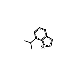 CC(C)c1cccc2cc[se]c12